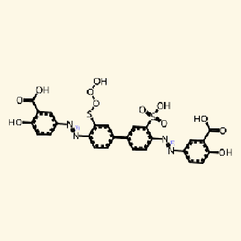 O=C(O)c1cc(/N=N/c2ccc(-c3ccc(/N=N/c4ccc(O)c(C(=O)O)c4)c(S(=O)(=O)O)c3)cc2SOOO)ccc1O